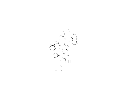 NCCCC[C@H](NC(=O)[C@H](Cc1ccccc1)NC(=O)[C@@H](Cc1ccc2ccccc2c1)NC(=O)[C@@H](Cc1ccc2ccccc2c1)NC(=O)C1CCNCC1)C(N)=O